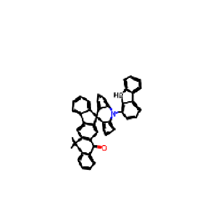 CC1(C)c2ccccc2C(=O)c2cc3c(cc21)-c1ccccc1C31c2ccccc2N(c2cccc3c2Bc2ccccc2-3)c2ccccc21